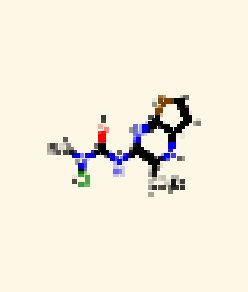 CCCCN(Cl)C(=O)Nc1nc2sccc2nc1C(=O)OCC